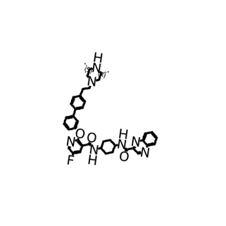 C[C@@H]1CN(CCc2ccc(-c3cccc(Oc4ncc(F)cc4C(=O)NC4CCC(NC(=O)c5cnc6ccccc6n5)CC4)c3)cc2)C[C@H](C)N1